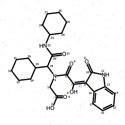 O=C(O)CN(C(=O)/C(O)=C1\C(=O)Nc2ccccc21)C(C(=O)NC1CCCCC1)C1CCCCC1